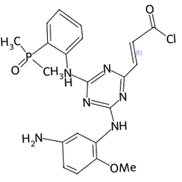 COc1ccc(N)cc1Nc1nc(/C=C/C(=O)Cl)nc(Nc2ccccc2P(C)(C)=O)n1